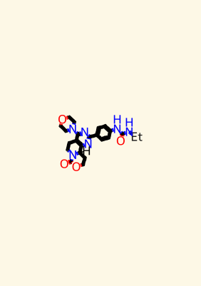 CCNC(=O)Nc1ccc(-c2nc3c(c(N4CCOCC4)n2)CCN2C(=O)OCC[C@H]32)cc1